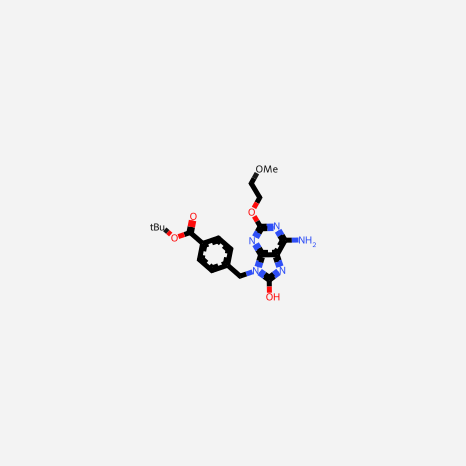 COCCOc1nc(N)c2nc(O)n(Cc3ccc(C(=O)OC(C)(C)C)cc3)c2n1